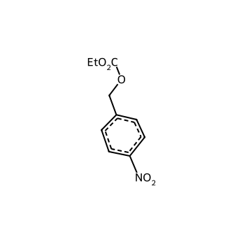 [CH2]COC(=O)OCc1ccc([N+](=O)[O-])cc1